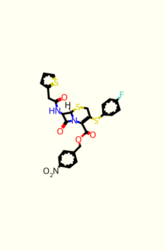 O=C(Cc1cccs1)NC1C(=O)N2C(C(=O)OCc3ccc([N+](=O)[O-])cc3)=C(Sc3ccc(F)cc3)CS[C@H]12